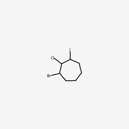 ClC1C(Br)CCCCC1I